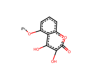 CC(C)Oc1cccc2oc(=O)c(O)c(O)c12